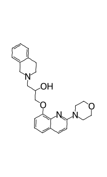 OC(COc1cccc2ccc(N3CCOCC3)nc12)CN1CCc2ccccc2C1